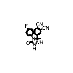 CC1(c2ccc(C#N)c(C#N)c2)NNC(=O)N1c1ccc(F)cc1